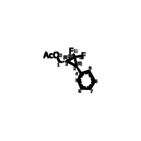 CC(=O)OC[C@H]1[C@H](c2ccccc2)C1(F)F